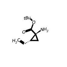 C=C[C@H]1C[C@@]1(N)C(=O)OC(C)(C)C